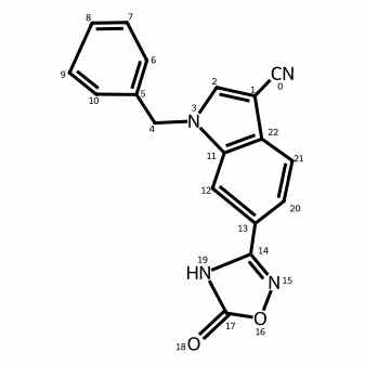 N#Cc1cn(Cc2ccccc2)c2cc(-c3noc(=O)[nH]3)ccc12